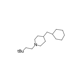 CC(C)(C)CCN1CCC(CC2CCCCC2)CC1